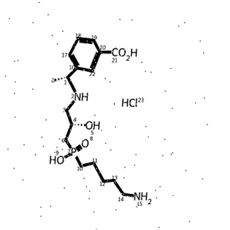 C[C@@H](NC[C@H](O)CP(=O)(O)CCCCCN)c1cccc(C(=O)O)c1.Cl